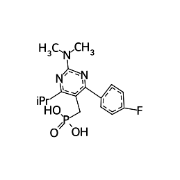 CC(C)c1nc(N(C)C)nc(-c2ccc(F)cc2)c1CP(=O)(O)O